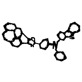 c1ccc(N(c2ccc(-c3nc4c(o3)-c3cc5cccc6ccc7ccc-4c3c7c65)cc2)c2ccc3c(c2)sc2ccccc23)cc1